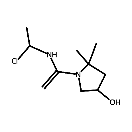 C=C(NC(C)Cl)N1CC(O)CC1(C)C